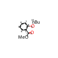 [CH2]OC(=O)c1ccccc1OCCCC